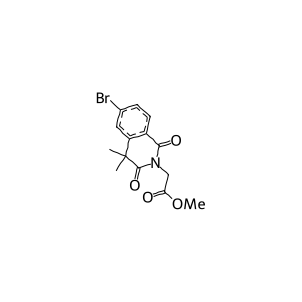 COC(=O)CN1C(=O)c2ccc(Br)cc2C(C)(C)C1=O